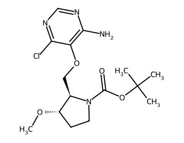 CO[C@H]1CCN(C(=O)OC(C)(C)C)[C@@H]1COc1c(N)ncnc1Cl